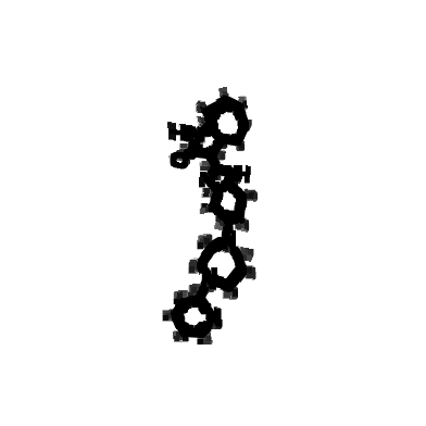 O=c1[nH]c2cccccc-2c1-c1nc2cc(N3CCCN(c4ccccn4)CC3)ccc2[nH]1